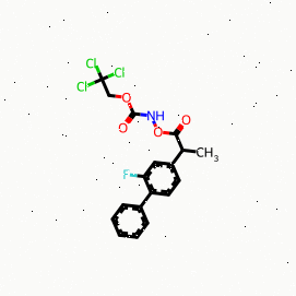 CC(C(=O)ONC(=O)OCC(Cl)(Cl)Cl)c1ccc(-c2ccccc2)c(F)c1